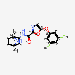 O=C(N[C@@H]1C[C@H]2CC[C@@H]1N2)c1ncc(Oc2cc(F)cc(F)c2)o1